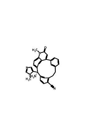 Cn1cncc1[C@]1(N)c2ccc(C#N)c(c2)CCc2cccc(c2)-c2cc(=O)n(C)c3ccc1cc23